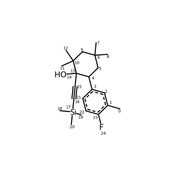 Cc1cc(C2CC(C)(C)CC(C)(C)C2(O)C#C[Si](C)(C)C)ccc1F